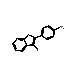 Fc1c(-c2ccc(C(F)(F)F)cc2)oc2ccccc12